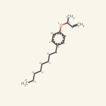 C=CC(C)Oc1ccc(CCCCCCCC)cc1